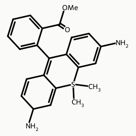 COC(=O)c1ccccc1C1=C2C=CC(N)C=C2S(C)(C)c2cc(N)ccc21